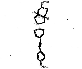 CCCCCC1CC[C@@H]2C[C@H](c3ccc(C#Cc4ccc(OC)cc4)cc3)CC[C@@H]2C1